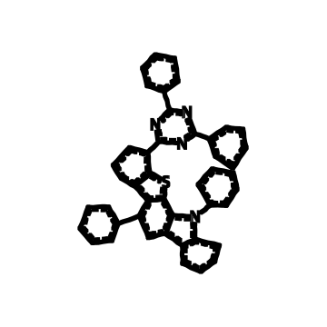 c1ccc(-c2nc(-c3ccccc3)nc(-c3cccc4c3sc3c4c(-c4ccccc4)cc4c5ccccc5n(-c5ccccc5)c43)n2)cc1